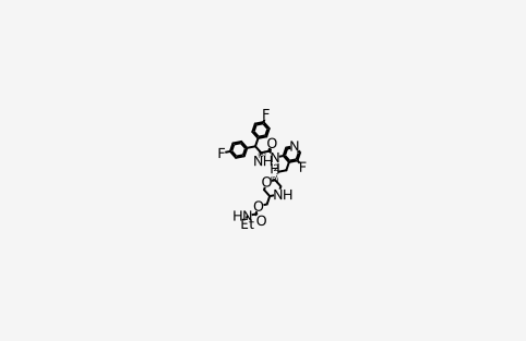 CCNC(=O)OCC1CO[C@H](CCc2c(F)cncc2NC(=O)[C@@H](N)C(c2ccc(F)cc2)c2ccc(F)cc2)CN1